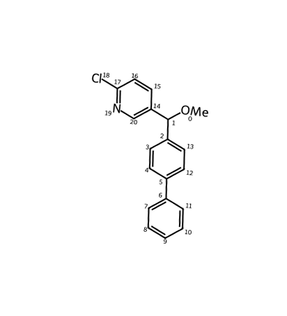 COC(c1ccc(-c2ccccc2)cc1)c1ccc(Cl)nc1